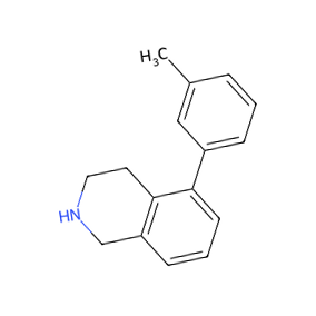 Cc1cccc(-c2cccc3c2CCNC3)c1